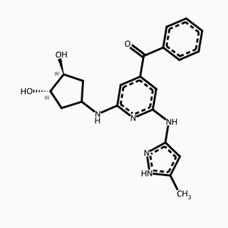 Cc1cc(Nc2cc(C(=O)c3ccccc3)cc(NC3C[C@H](O)[C@@H](O)C3)n2)n[nH]1